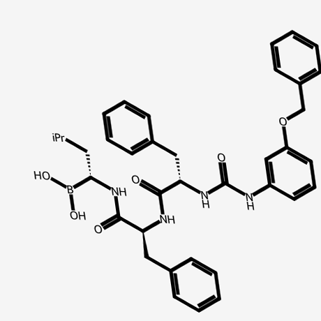 CC(C)C[C@H](NC(=O)[C@H](Cc1ccccc1)NC(=O)[C@H](Cc1ccccc1)NC(=O)Nc1cccc(OCc2ccccc2)c1)B(O)O